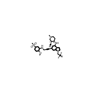 COc1ccc(S(C)(=O)=O)cc1NCC#Cc1cc(N[C@@H]2CCN(C)C[C@@H]2C#N)c2ccn(CC(F)(F)F)c2c1